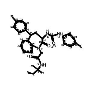 CCC(C)(C)NC(=O)CN1C(=O)C(NC(=O)Nc2ccc(C)cc2)CC(c2ccc(C)cc2)c2ccccc21